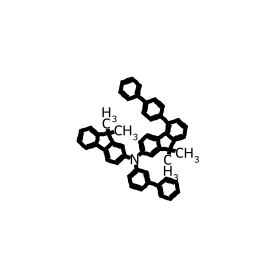 CC1(C)c2ccccc2-c2ccc(N(c3cccc(-c4ccccc4)c3)c3ccc4c(c3)C(C)(C)c3cccc(-c5ccc(-c6ccccc6)cc5)c3-4)cc21